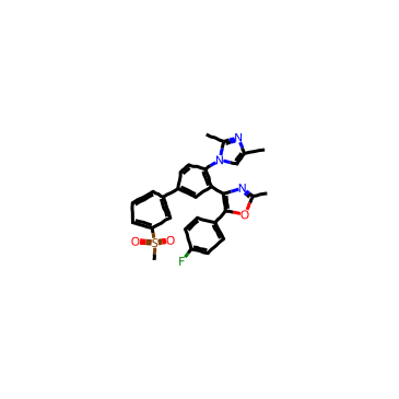 Cc1cn(-c2ccc(-c3cccc(S(C)(=O)=O)c3)cc2-c2nc(C)oc2-c2ccc(F)cc2)c(C)n1